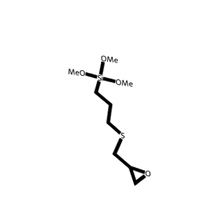 CO[Si](CCCSCC1CO1)(OC)OC